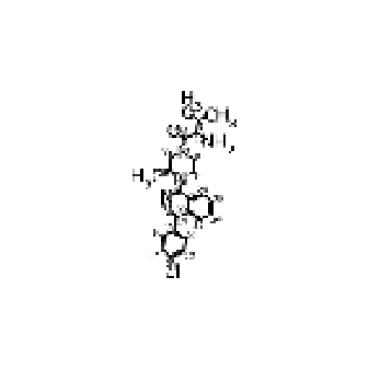 CC(C)C(N)C(=O)N1CCN(c2nnc(-c3ccc(Cl)cc3)c3ccccc23)C(C)C1